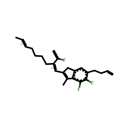 C=CCCc1cc2c(c(F)c1F)C(C)=C(/C=C(/CCCC/C=C/C)C(=C)F)C2